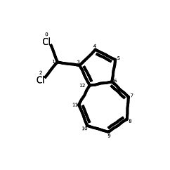 ClC(Cl)c1ccc2cccccc1-2